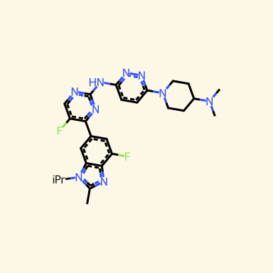 Cc1nc2c(F)cc(-c3nc(Nc4ccc(N5CCC(N(C)C)CC5)nn4)ncc3F)cc2n1C(C)C